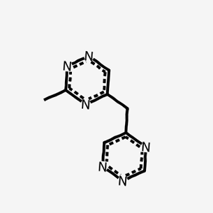 Cc1nncc(Cc2cnncn2)n1